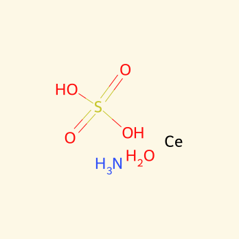 N.O.O=S(=O)(O)O.[Ce]